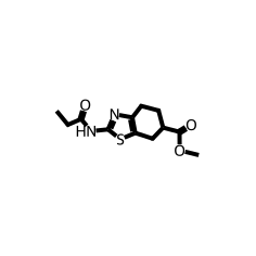 CCC(=O)Nc1nc2c(s1)CC(C(=O)OC)CC2